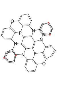 c1ccc(-n2c3cccc4oc5cccc6c5p(c43)c3c2c2c4c(c3n6-c3ccccc3)n(-c3ccccc3)c3cccc5oc6cccc(c6p4c53)n2-c2ccccc2)cc1